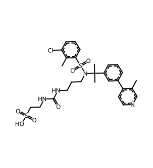 Cc1cnccc1-c1cccc(C(C)(C)N(CCCNC(=O)NCCS(=O)(=O)O)S(=O)(=O)c2cccc(Cl)c2C)c1